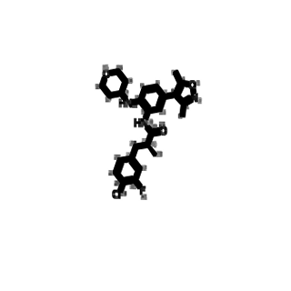 Cc1noc(C)c1-c1ccc(NC2CCOCC2)c(NC(=O)[C@@H](C)Cc2ccc(Cl)c(F)c2)c1